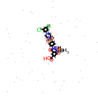 CN(c1ccc(C(=O)O)cc1C(=O)Nc1ccc(S(=O)(=O)N2CCN(c3cc(Cl)cc(Cl)c3)CC2)cc1)S(C)(=O)=O